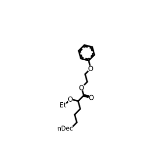 CCCCCCCCCCCCCC(OCC)C(=O)OCCOc1ccccc1